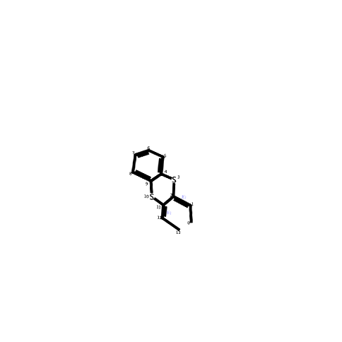 C/C=C1/Sc2ccccc2S/C1=C/C